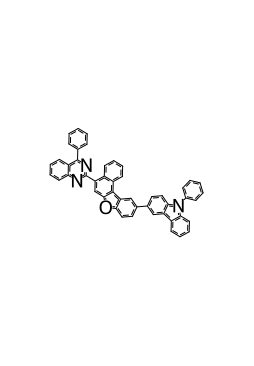 c1ccc(-c2nc(-c3cc4oc5ccc(-c6ccc7c(c6)c6ccccc6n7-c6ccccc6)cc5c4c4ccccc34)nc3ccccc23)cc1